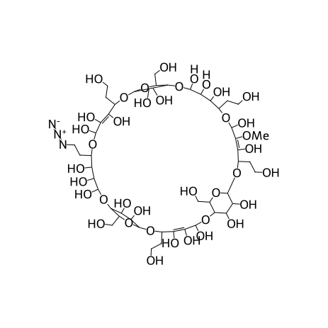 CO/C1=C(\O)C(CCO)OC2OC(CO)C(OC(O)/C(O)=C(/O)C(CCO)OC3OC(CO)C(OC(O)C(O)C(O)C(CCN=[N+]=[N-])OC(O)/C(O)=C(\O)C(CCO)OC4OC(CO)C(OC(O)C(O)C(O)C(CCO)OC1O)C(O)C4O)C(O)C3O)C(O)C2O